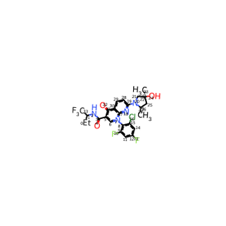 CCC(NC(=O)c1cn(-c2c(F)cc(F)cc2Cl)c2nc(N3C[C@@](C)(O)C[C@H]3C)ccc2c1=O)C(F)(F)F